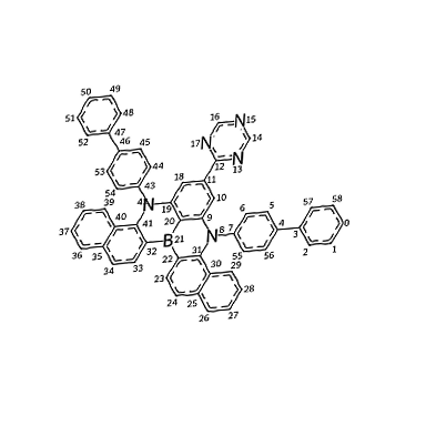 c1ccc(-c2ccc(N3c4cc(-c5ncncn5)cc5c4B(c4ccc6ccccc6c43)c3ccc4ccccc4c3N5c3ccc(-c4ccccc4)cc3)cc2)cc1